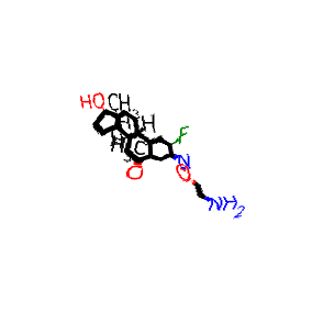 C[C@]12CC[C@H]3[C@@H](CC(=O)C4C/C(=N\OCCN)[C@H](F)C[C@@]43C)[C@@H]1CC[C@@H]2O